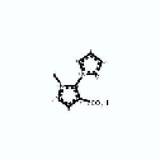 Cn1ncc(C(=O)O)c1-n1cccn1